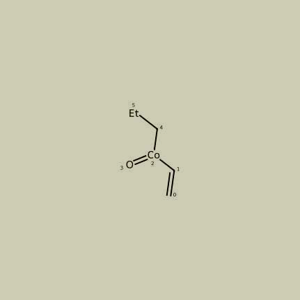 C=[CH][Co](=[O])[CH2]CC